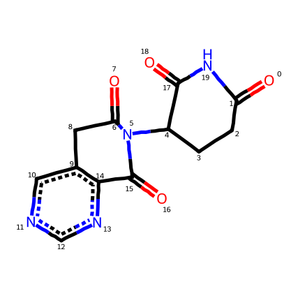 O=C1CCC(N2C(=O)Cc3cncnc3C2=O)C(=O)N1